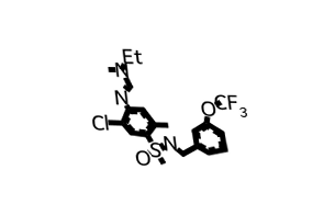 CCN(C)C=Nc1cc(C)c(S(C)(=O)=NCc2cccc(OC(F)(F)F)c2)cc1Cl